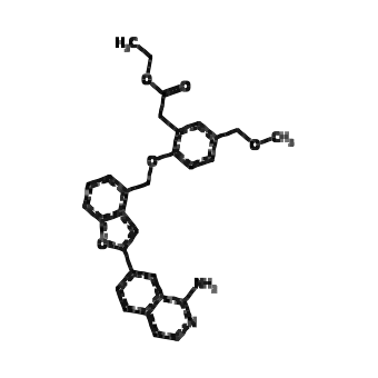 CCOC(=O)Cc1cc(COC)ccc1OCc1cccc2oc(-c3ccc4ccnc(N)c4c3)cc12